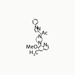 COc1c(C)cc2cccnc2c1N1CCCN(C(C(C)=O)c2ccn(-c3ccccc3)n2)CC1